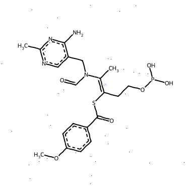 COc1ccc(C(=O)S/C(CCOP(O)O)=C(/C)N(C=O)Cc2cnc(C)nc2N)cc1